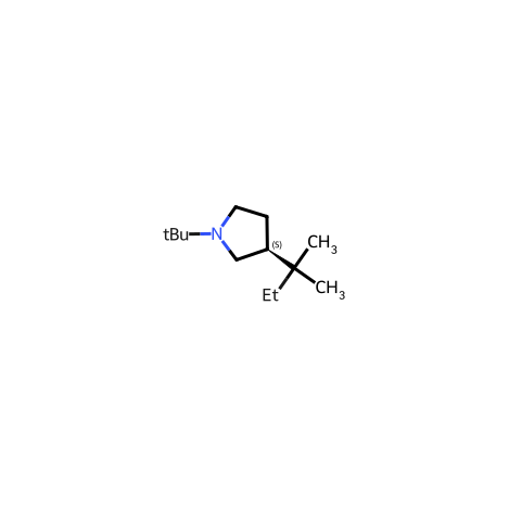 CCC(C)(C)[C@@H]1CCN(C(C)(C)C)C1